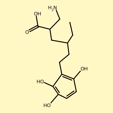 CCC(CCc1c(O)ccc(O)c1O)CC(CN)C(=O)O